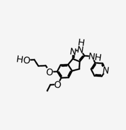 CCOc1cc2c(cc1OCCCO)-c1n[nH]c(Nc3cccnc3)c1C2